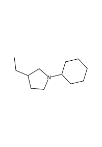 CCC1CCN(C2CCCCC2)C1